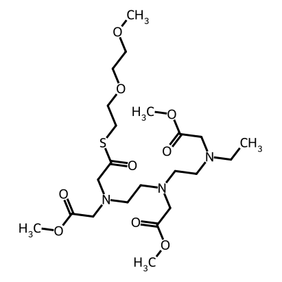 CCN(CCN(CCN(CC(=O)OC)CC(=O)SCCOCCOC)CC(=O)OC)CC(=O)OC